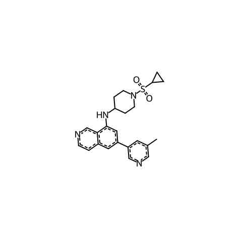 Cc1cncc(-c2cc(NC3CCN(S(=O)(=O)C4CC4)CC3)c3cnccc3c2)c1